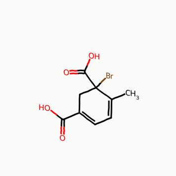 CC1=CC=C(C(=O)O)CC1(Br)C(=O)O